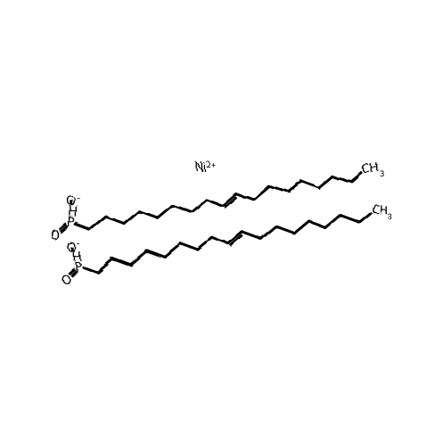 CCCCCCCCC=CCCCCCCCC[PH](=O)[O-].CCCCCCCCC=CCCCCCCCC[PH](=O)[O-].[Ni+2]